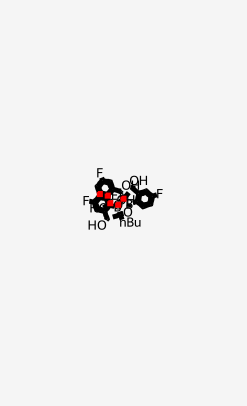 CCCCC(C)(OB(c1ccc(F)cc1CO)C(C)(CC)OB(O)c1ccc(F)cc1CO)B(O)c1ccc(F)cc1CO